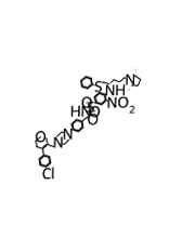 C[C@@H]1CC[C@H](C)N1CCC[C@H](CSc1ccccc1)Nc1ccc(S(=O)(=O)NC(=O)c2ccc(N3CCN(CC4=C(c5ccc(Cl)cc5)CCOC4)CC3)cc2)cc1[N+](=O)[O-]